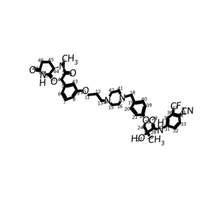 CN(C(=O)Cc1cccc(OCCCN2CCN(Cc3ccc(OCC(C)(O)C(=O)Nc4ccc(C#N)c(C(F)(F)F)c4)cc3)CC2)c1)[C@H]1CCC(=O)NC1=O